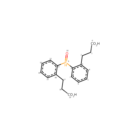 O=C(O)CCc1ccccc1[PH](=O)c1ccccc1CCC(=O)O